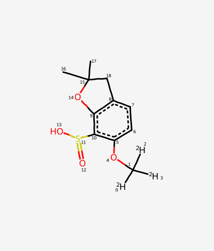 [2H]C([2H])([2H])Oc1ccc2c(c1S(=O)O)OC(C)(C)C2